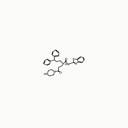 O=C(CCN(CCC(c1ccccc1)c1ccccc1)C(=O)Nc1nc2ccccc2s1)N1CCNCC1